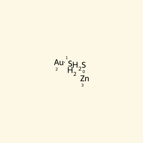 S.S.[Au].[Zn]